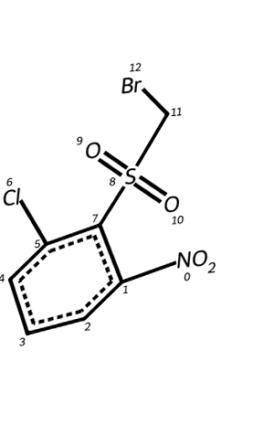 O=[N+]([O-])c1cccc(Cl)c1S(=O)(=O)CBr